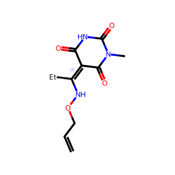 C=CCON/C(CC)=C1/C(=O)NC(=O)N(C)C1=O